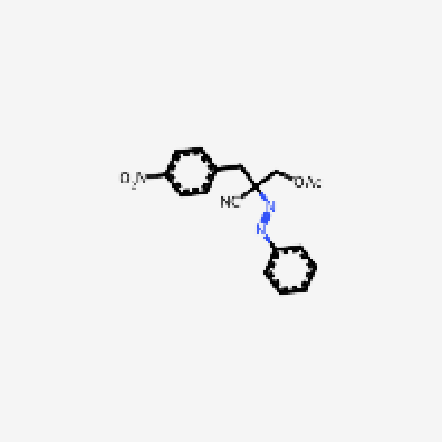 CC(=O)OCC(C#N)(Cc1ccc([N+](=O)[O-])cc1)N=Nc1ccccc1